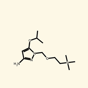 CC(C)Oc1cc(N)nn1COCC[Si](C)(C)C